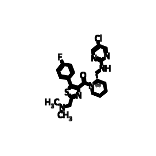 CN(C)Cc1nc(C(=O)N2CCCC[C@H]2CNc2ncc(Cl)cn2)c(-c2ccc(F)cc2)s1